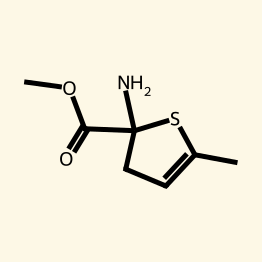 COC(=O)C1(N)CC=C(C)S1